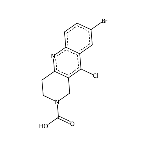 O=C(O)N1CCc2nc3ccc(Br)cc3c(Cl)c2C1